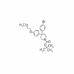 COCCOc1ccc(C2(c3ccc(Br)cc3)CCN(C(=O)OC(C)(C)C)CC2)cc1